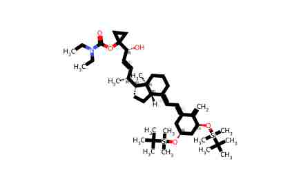 C=C1/C(=C/C=C2\CCC[C@]3(C)[C@@H]([C@H](C)/C=C/[C@@H](O)C4(OC(=O)N(CC)CC)CC4)CC[C@@H]23)C[C@@H](O[Si](C)(C)C(C)(C)C)C[C@@H]1O[Si](C)(C)C(C)(C)C